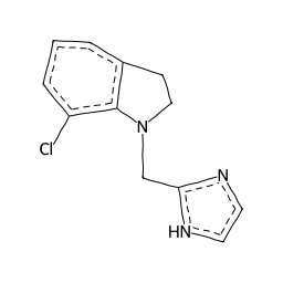 Clc1cccc2c1N(Cc1ncc[nH]1)CC2